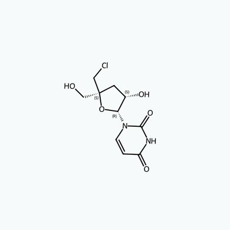 O=c1ccn([C@@H]2O[C@@](CO)(CCl)C[C@@H]2O)c(=O)[nH]1